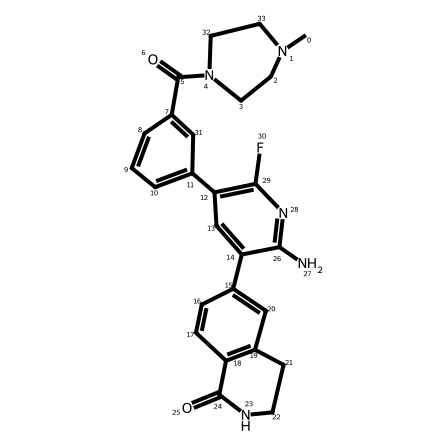 CN1CCN(C(=O)c2cccc(-c3cc(-c4ccc5c(c4)CCNC5=O)c(N)nc3F)c2)CC1